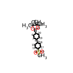 CC1(C)OB(c2ccc(-c3ccc(S(C)(=O)=O)cc3)cc2)OC1(C)C